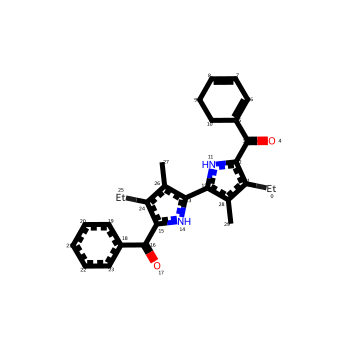 CCc1c(C(=O)C2=CC=CCC2)[nH]c(-c2[nH]c(C(=O)c3ccccc3)c(CC)c2C)c1C